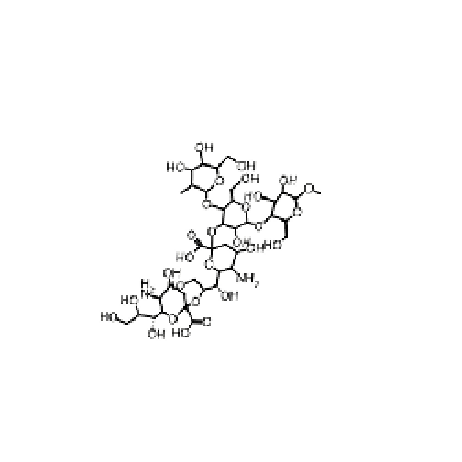 COC1OC(CO)C(OC2OC(CO)C(OC3OC(CO)C(O)C(O)C3C)C(OC3(C(=O)O)CC(O)C(N)C([C@H](O)C(CO)OC4(C(=O)O)CC(O)C(N)C([C@H](O)[C@H](O)CO)O4)O3)C2O)C(O)C1O